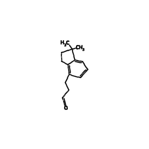 CC1(C)CCc2c(CCC=O)cccc21